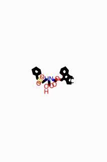 O=C(N[C@@H](CCS(=O)(=O)Cc1ccccc1)C(=O)O)OCC1c2ccccc2-c2ccccc21